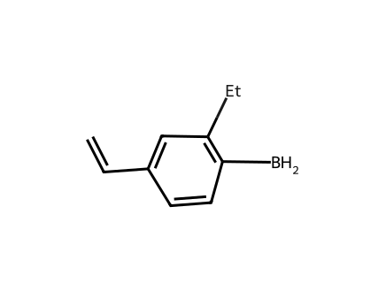 Bc1ccc(C=C)cc1CC